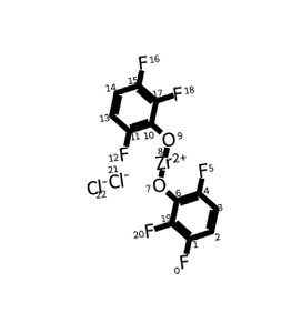 Fc1ccc(F)c([O][Zr+2][O]c2c(F)ccc(F)c2F)c1F.[Cl-].[Cl-]